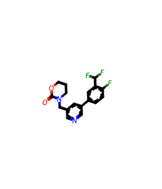 O=C1OCCCN1Cc1cncc(-c2ccc(F)c(C(F)F)c2)c1